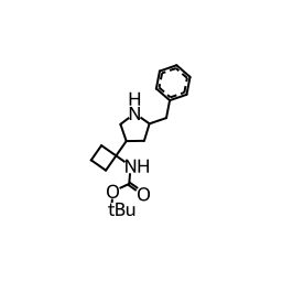 CC(C)(C)OC(=O)NC1(C2CNC(Cc3ccccc3)C2)CCC1